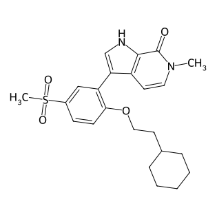 Cn1ccc2c(-c3cc(S(C)(=O)=O)ccc3OCCC3CCCCC3)c[nH]c2c1=O